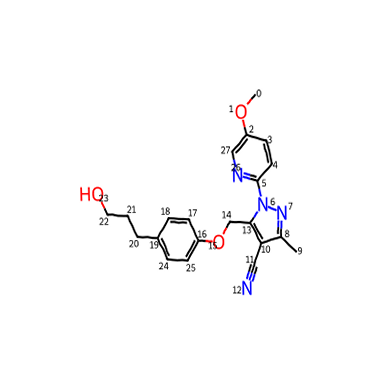 COc1ccc(-n2nc(C)c(C#N)c2COc2ccc(CCCO)cc2)nc1